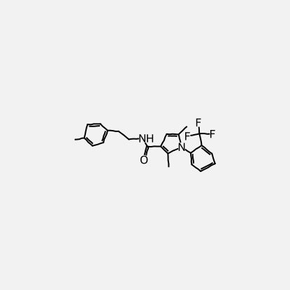 Cc1ccc(CCNC(=O)c2cc(C)n(-c3ccccc3C(F)(F)F)c2C)cc1